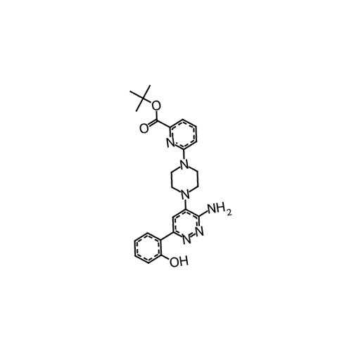 CC(C)(C)OC(=O)c1cccc(N2CCN(c3cc(-c4ccccc4O)nnc3N)CC2)n1